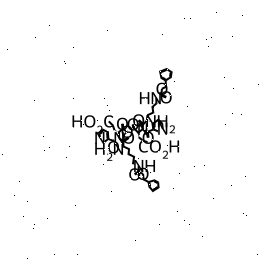 N[C@@H](CCCCNC(=O)OCc1ccccc1)C(=O)N(C(=O)c1cccnc1)[C@H](CCC(=O)O)C(=O)OC(=O)[C@@H](CCC(=O)O)N(C(=O)c1cccnc1)C(=O)[C@@H](N)CCCCNC(=O)OCc1ccccc1